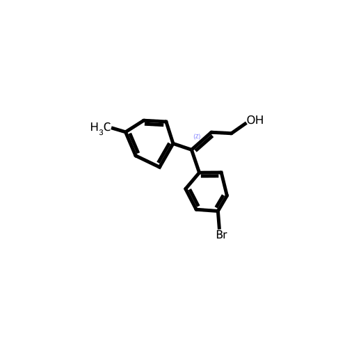 Cc1ccc(/C(=C/CO)c2ccc(Br)cc2)cc1